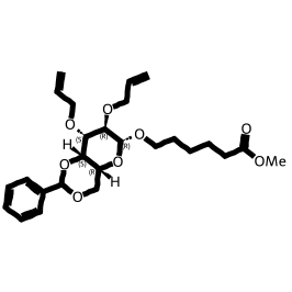 C=CCO[C@H]1[C@H]2OC(c3ccccc3)OC[C@H]2O[C@@H](OCCCCCC(=O)OC)[C@@H]1OCC=C